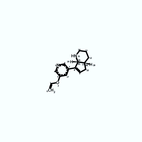 C=COc1cncc(C2=CC[C@H]3CCCN[C@@H]23)c1